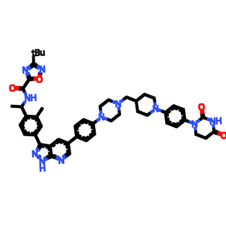 Cc1cc(-c2n[nH]c3ncc(-c4ccc(N5CCN(CC6CCN(c7ccc(N8CCC(=O)NC8=O)cc7)CC6)CC5)cc4)cc23)ccc1C(C)NC(=O)c1nc(C(C)(C)C)no1